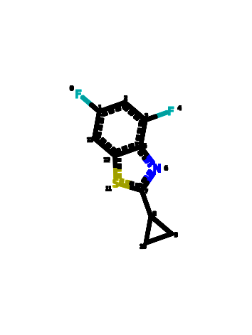 Fc1cc(F)c2nc(C3CC3)sc2c1